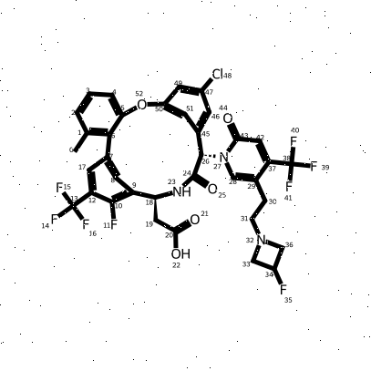 Cc1cccc2c1-c1cc(c(F)c(C(F)(F)F)c1)[C@H](CC(=O)O)NC(=O)[C@@H](n1cc(CCN3CC(F)C3)c(C(F)(F)F)cc1=O)c1cc(Cl)cc(c1)O2